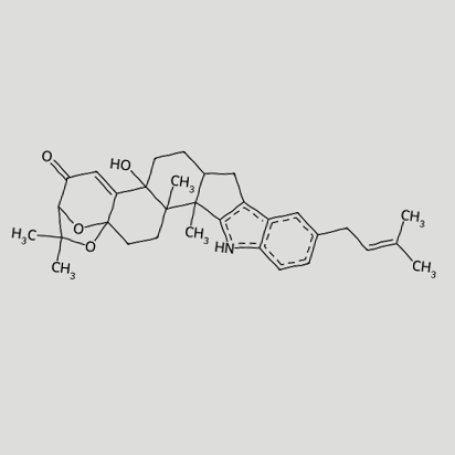 CC(C)=CCc1ccc2[nH]c3c(c2c1)CC1CCC2(O)C4=CC(=O)C5OC4(CCC2(C)C31C)OC5(C)C